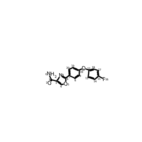 NC(=O)c1coc(-c2ccc(Oc3ccc(F)cc3)cc2)n1